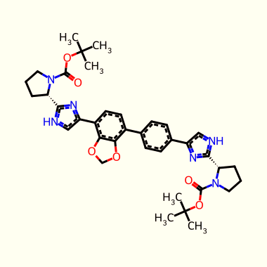 CC(C)(C)OC(=O)N1CCC[C@H]1c1nc(-c2ccc(-c3ccc(-c4c[nH]c([C@@H]5CCCN5C(=O)OC(C)(C)C)n4)c4c3OCO4)cc2)c[nH]1